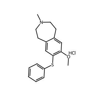 COc1cc2c(cc1Sc1ccccc1)CCN(C)CC2.Cl